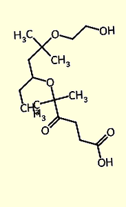 CCC(CC(C)(C)OCCO)OC(C)(C)C(=O)CCC(=O)O